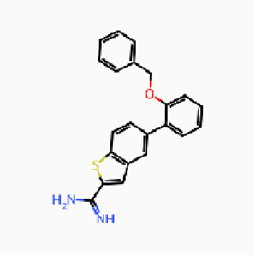 N=C(N)c1cc2cc(-c3ccccc3OCc3ccccc3)ccc2s1